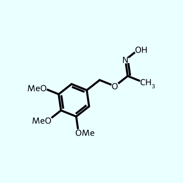 COc1cc(COC(C)=NO)cc(OC)c1OC